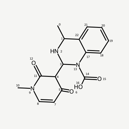 CC1NC(C2C(=O)C=CN(C)C2=O)N(C(=O)O)c2ccccc21